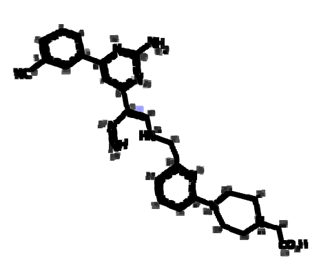 N#Cc1cccc(-c2cc(/C(=C/NCc3cccc(N4CCN(CC(=O)O)CC4)n3)N=N)nc(N)n2)c1